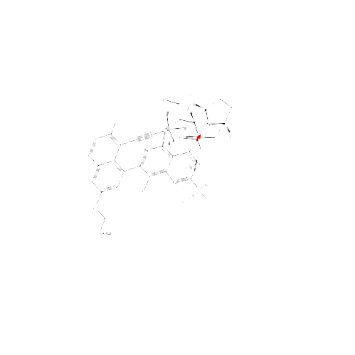 CCS(=O)(=O)c1nc2c3c(nc(-c4cc(OCOC)cc5ccc(F)c(C#C[Si](C(C)C)(C(C)C)C(C)C)c45)c(F)c3n1)O[C@H](C(F)F)[C@@H]1[C@@H]3CC[C@H](CN21)N3C(=O)OC(C)(C)C